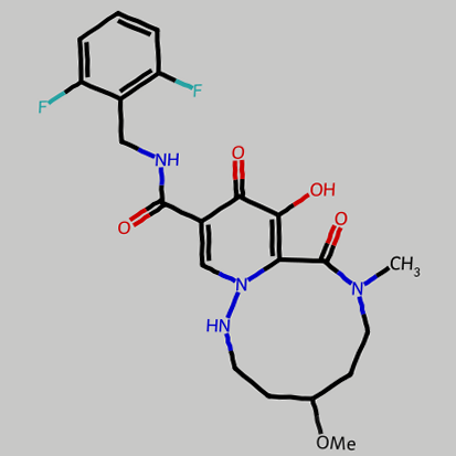 COC1CCNn2cc(C(=O)NCc3c(F)cccc3F)c(=O)c(O)c2C(=O)N(C)CC1